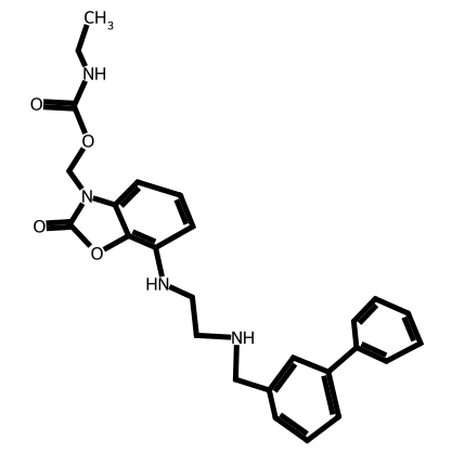 CCNC(=O)OCn1c(=O)oc2c(NCCNCc3cccc(-c4ccccc4)c3)cccc21